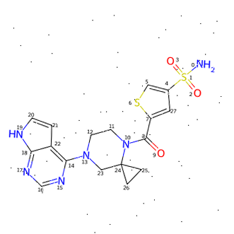 NS(=O)(=O)c1csc(C(=O)N2CCN(c3ncnc4[nH]ccc34)CC23CC3)c1